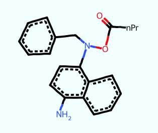 CCCC(=O)ON(Cc1ccccc1)c1ccc(N)c2ccccc12